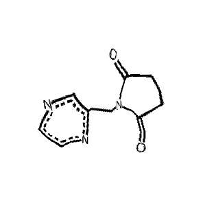 O=C1CCC(=O)N1c1cnccn1